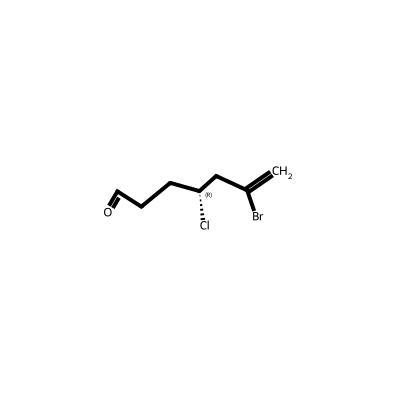 C=C(Br)C[C@H](Cl)CCC=O